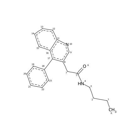 CCCCNC(=O)Cc1cnc2ccccc2c1-c1ccccc1